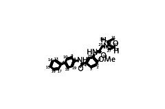 COc1ccc(C(=O)Nc2ccc(-c3ccccc3)cc2)cc1NC(=O)CN1C[C@H]2C[C@@H]1CO2